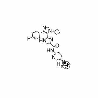 CN1C2CC1CN(c1ccc(NC(=O)c3c[nH]c(-c4c(-c5ccc(F)cc5)ncn4C4CCC4)n3)nc1)C2